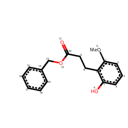 COc1cccc(O)c1CCC(=O)OCc1ccccc1